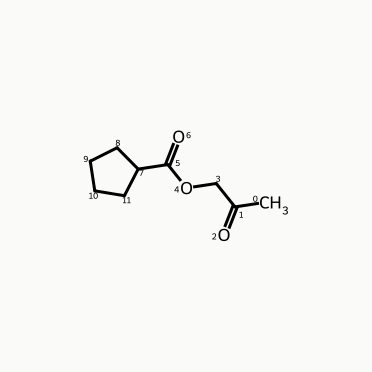 CC(=O)COC(=O)C1CCCC1